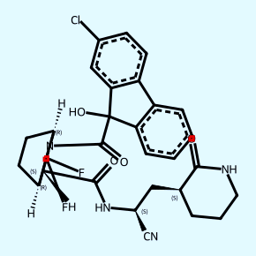 N#C[C@H](C[C@@H]1CCCNC1=O)NC(=O)[C@@H]1[C@H]2CC[C@H](CC2(F)F)N1C(=O)C1(O)c2ccccc2-c2ccc(Cl)cc21